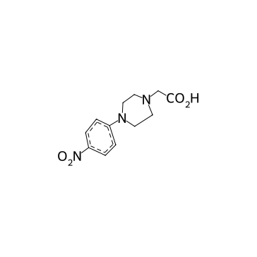 O=C(O)CN1CCN(c2ccc([N+](=O)[O-])cc2)CC1